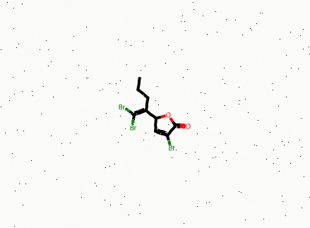 CCCC(=C(Br)Br)C1C=C(Br)C(=O)O1